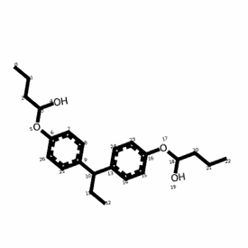 CCCC(O)Oc1ccc(C(CC)c2ccc(OC(O)CCC)cc2)cc1